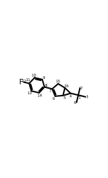 CC(C)(C)C1C2C=C(c3ccc(F)cc3)CC21